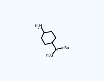 CCCCN(CCCC)C1CCC(N)CC1